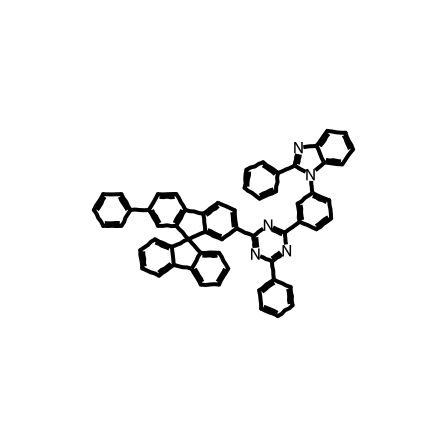 c1ccc(-c2ccc3c(c2)C2(c4ccccc4-c4ccccc42)c2cc(-c4nc(-c5ccccc5)nc(-c5cccc(-n6c(-c7ccccc7)nc7ccccc76)c5)n4)ccc2-3)cc1